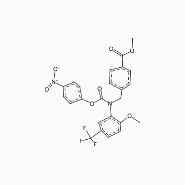 COC(=O)c1ccc(CN(C(=O)Oc2ccc([N+](=O)[O-])cc2)c2cc(C(F)(F)F)ccc2OC)cc1